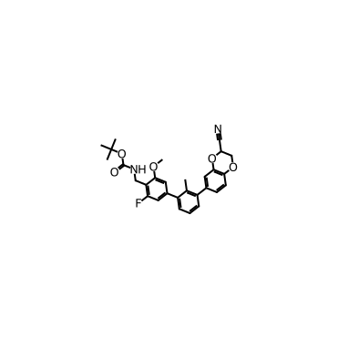 COc1cc(-c2cccc(-c3ccc4c(c3)OC(C#N)CO4)c2C)cc(F)c1CNC(=O)OC(C)(C)C